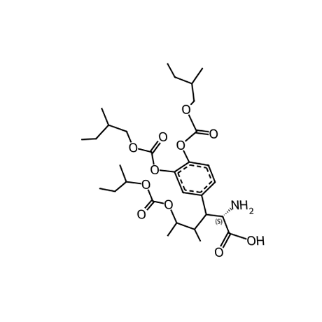 CCC(C)COC(=O)Oc1ccc(C(C(C)C(C)OC(=O)OC(C)CC)[C@H](N)C(=O)O)cc1OC(=O)OCC(C)CC